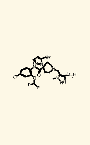 CC(C)c1ccnn1C1(C(=O)Nc2ccc(Cl)cc2OC(F)F)CCN(Cc2c(C(=O)O)nnn2C)CC1